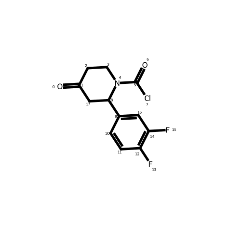 O=C1CCN(C(=O)Cl)C(c2ccc(F)c(F)c2)C1